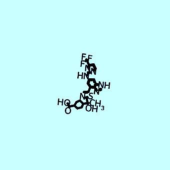 C[C@](O)(c1ncc(-c2cc(Nc3nccc(C(F)(F)F)n3)cc3[nH]cnc23)s1)C1CCC(C(=O)O)CC1